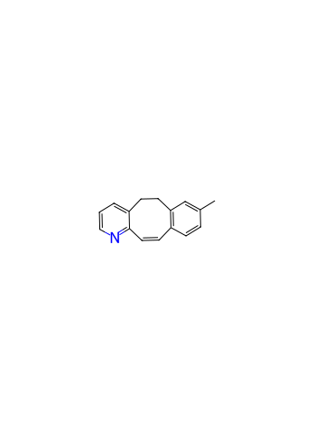 Cc1ccc2c(c1)CCc1cccnc1/C=C\2